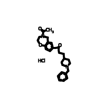 CC(=O)N1CCOc2ccc(C(=O)CCC3CCN(Cc4ccccc4)CC3)cc2C1.Cl